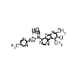 Cc1nc2sc3c(NC4CN(c5ncc(C(F)(F)F)cn5)C4)ncnc3c2c(C)c1Cl.Cl.Cl